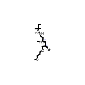 CCC(C)(C)[S+]([O-])NCC/C(=C/C(=C/O)COCCCOC)NC